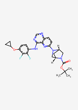 CC(C)(C)OC(=O)N1C[C@@H]2C[C@H]1CN2c1ccc2ncnc(Nc3ccc(OC4CC4)c(F)c3F)c2n1